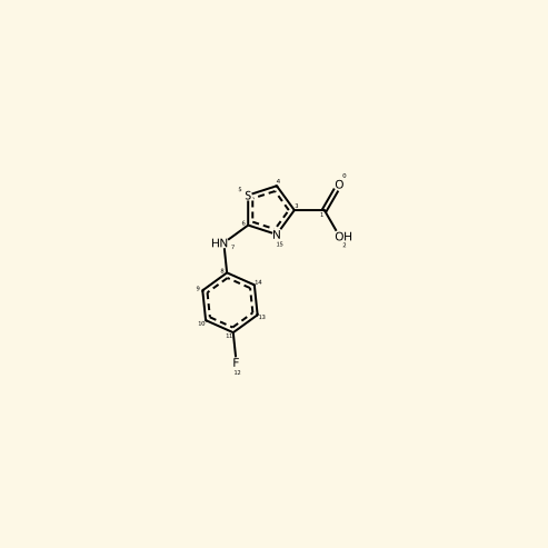 O=C(O)c1csc(Nc2ccc(F)cc2)n1